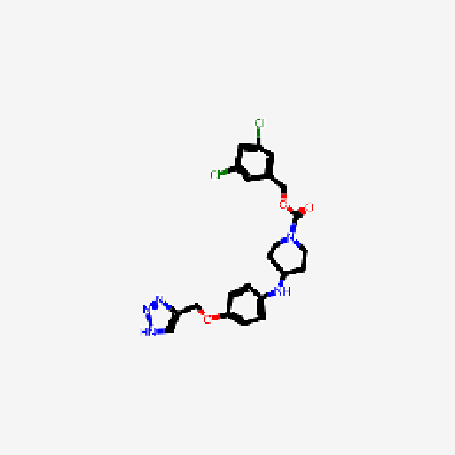 O=C(OCc1cc(Cl)cc(Cl)c1)N1CCC(Nc2ccc(OCc3c[nH]nn3)cc2)CC1